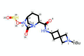 CCCCN1CC2(CC(NC(=O)C3CCC4CN3C(=O)N4O[SH]=O)C2)C1